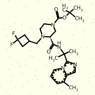 Cc1cccn2c(C(C)(C)NC(=O)[C@@H]3CN(C(=O)OC(C)(C)C)CCN3CC3CC(F)(F)C3)ncc12